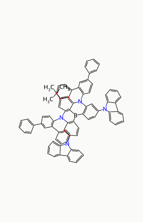 CC(C)(C)c1cc2c3c(c1)N(c1ccc(-c4ccccc4)cc1-c1ccccc1)c1cc(-n4c5ccccc5c5ccccc54)ccc1B3c1ccc(-n3c4ccccc4c4ccccc43)cc1N2c1ccc(-c2ccccc2)cc1-c1ccccc1